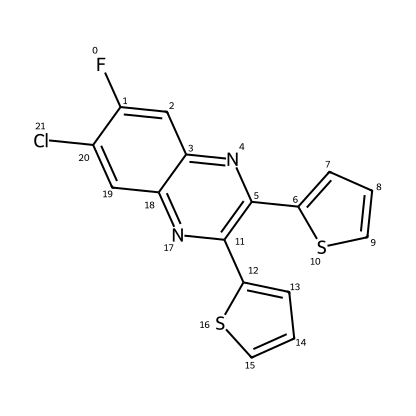 Fc1cc2nc(-c3cccs3)c(-c3cccs3)nc2cc1Cl